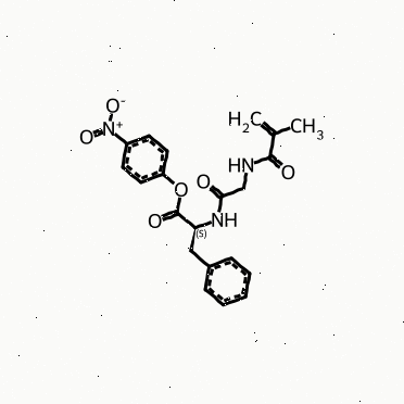 C=C(C)C(=O)NCC(=O)N[C@@H](Cc1ccccc1)C(=O)Oc1ccc([N+](=O)[O-])cc1